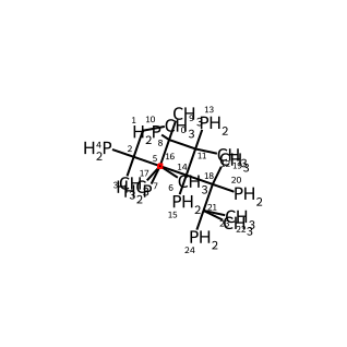 CCC(C)(P)C(C)(P)C(C)(P)C(C)(P)C(P)(CC)C(C)(P)C(C)(C)P